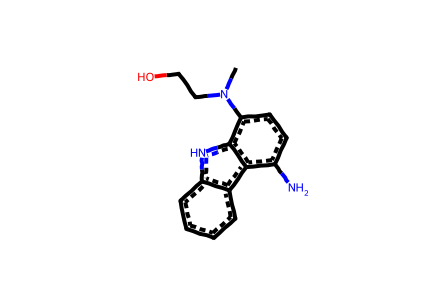 CN(CCO)c1ccc(N)c2c1[nH]c1ccccc12